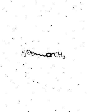 C=COCCCCCCc1ccc(C=C)cc1